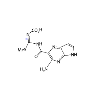 CS/C(=N/C(=O)O)NC(=O)c1nc2cc[nH]c2nc1N